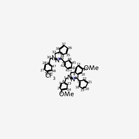 COc1ccc(CN(Cc2ccc(OC)cc2)/N=C/c2ccccc2)cc1.FC(F)(F)c1ccc(CN(Cc2ccccc2)/N=C/c2ccccc2)cc1